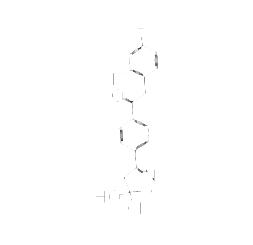 O=C(Cc1ccc(F)cc1F)c1ccc(C2=NOC(O)(C(F)(F)F)C2)cc1